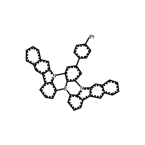 CC(C)c1ccc(-c2cc3c4c(c2)-n2c5cc6ccccc6cc5c5cccc(c52)B4c2cccc4c5cc6ccccc6cc5n-3c24)cc1